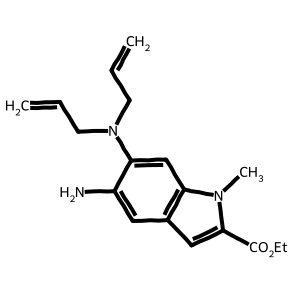 C=CCN(CC=C)c1cc2c(cc1N)cc(C(=O)OCC)n2C